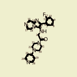 O=C(CNc1c(-c2ccccc2F)nc2cnccn12)N1CCN(c2ccncc2)CC1